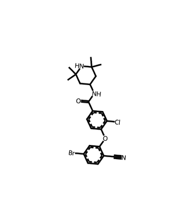 CC1(C)CC(NC(=O)c2ccc(Oc3cc(Br)ccc3C#N)c(Cl)c2)CC(C)(C)N1